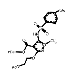 CC(=O)OCCOc1nn(C)c(NS(=O)(=O)c2ccc(C(C)(C)C)cc2)c1C(=O)OC(C)(C)C